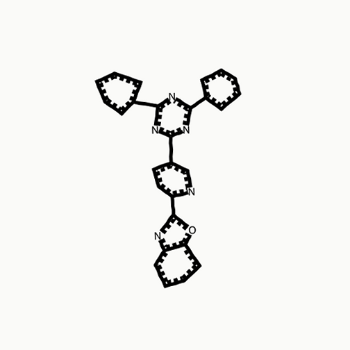 c1ccc(-c2nc(-c3ccccc3)nc(-c3ccc(-c4nc5ccccc5o4)nc3)n2)cc1